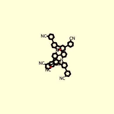 N#Cc1cccc(-c2ccc3c(c2)c2cc(-c4cccc(C#N)c4)ccc2n3-c2ccc(-c3ccc(C#N)cc3C(F)(F)F)cc2-c2c(C#N)cccc2-n2c3ccc(-c4cccc(C#N)c4)cc3c3cc(-c4cccc(C#N)c4)ccc32)c1